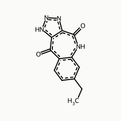 CCc1ccc2c(=O)c3[nH]nnc3c(=O)[nH]c2c1